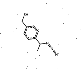 CC(N=[N+]=[N-])c1ccc(CS)cc1